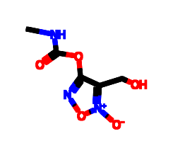 CNC(=O)Oc1no[n+]([O-])c1CO